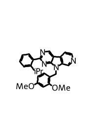 COc1ccc(Cn2c3cnccc3c3cnc(-c4ccccc4C(C)C)nc32)c(OC)c1